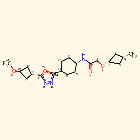 O=C(CO[C@H]1C[C@@H](C(F)(F)F)C1)N[C@H]1CC[C@H](c2nnc([C@H]3C[C@H](OC(F)(F)F)C3)o2)CC1